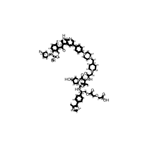 Cc1ncsc1-c1ccc([C@H](COC(=O)COCC(=O)O)NC(=O)[C@@H]2C[C@@H](O)CN2C(=O)[C@@H](NC(=O)CN2CCC(CN3CCN(c4ccc(-c5cnc6[nH]cc(C(=O)c7c(F)ccc(N(N8CC[C@@H](F)C8)[SH](=O)=O)c7F)c6c5)cc4)CC3)CC2)C(C)(C)C)cc1